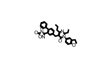 CCCc1nc(CC)n(-c2ccc3c(c2)CCO3)c(=O)c1Cc1ccc(-c2ccccc2)c(-c2noc(=O)[nH]2)c1